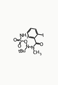 CN(C(=O)c1ccccc1I)N(OS(N)(=O)=O)C(C)(C)C